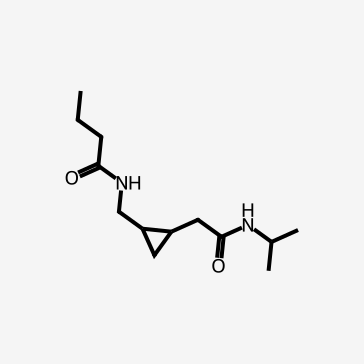 CCCC(=O)NCC1CC1CC(=O)NC(C)C